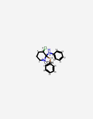 O=C(O)N1CCCC(Cl)C1(Nc1ccccc1)Sc1ccccc1